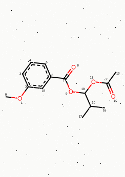 COc1cccc(C(=O)OC(OC(C)=O)C(C)C)c1